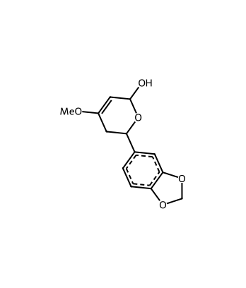 COC1=CC(O)OC(c2ccc3c(c2)OCO3)C1